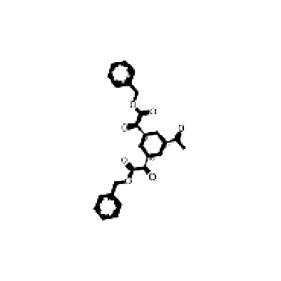 CC(=O)[C@H]1C[C@@H](C(=O)C(=O)OCc2ccccc2)C[C@@H](C(=O)C(=O)OCc2ccccc2)C1